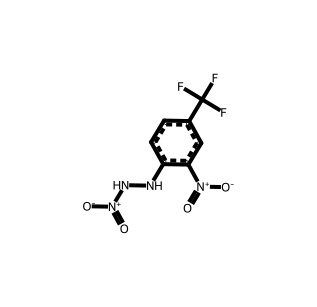 O=[N+]([O-])NNc1ccc(C(F)(F)F)cc1[N+](=O)[O-]